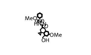 COc1cc(CO)c2c(c1)-c1onc(NS(=O)(=O)c3ccccc3OC)c1CC21CC1